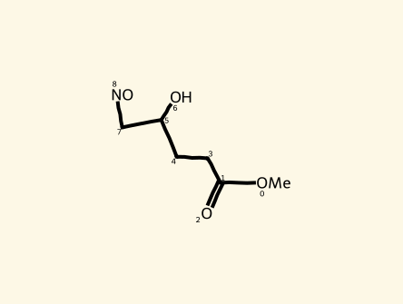 COC(=O)CCC(O)CN=O